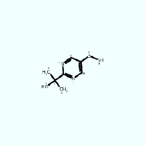 CC(C)(O)c1ncc(SS)cn1